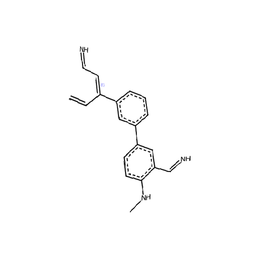 C=C/C(=C\C=N)c1cccc(-c2ccc(NC)c(C=N)c2)c1